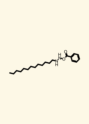 CCCCCCCCCCCCCNNOC(=O)c1ccccc1